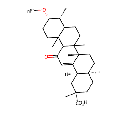 CCCO[C@H]1CCC2(C)C(CCC3(C)C2C(=O)C=C2[C@@H]4C[C@@](C)(C(=O)O)CC[C@]4(C)CC[C@]23C)[C@H]1C